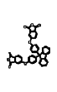 C=C1OC(=O)c2cc(Oc3ccc(C4(c5ccc(Oc6ccc7c(c6)C(=O)OC7=O)cc5)c5ccccc5-c5ccccc54)cc3)ccc21